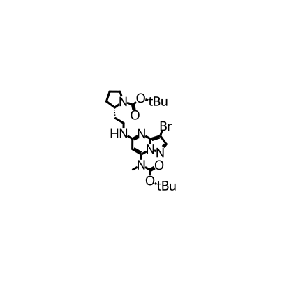 CN(C(=O)OC(C)(C)C)c1cc(NCC[C@@H]2CCCN2C(=O)OC(C)(C)C)nc2c(Br)cnn12